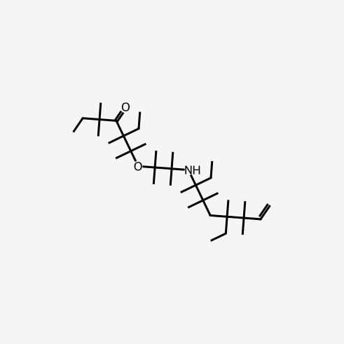 C=CC(C)(C)C(C)(CC)CC(C)(C)C(C)(CC)NC(C)(C)C(C)(C)OC(C)(C)C(C)(CC)C(=O)C(C)(C)CC